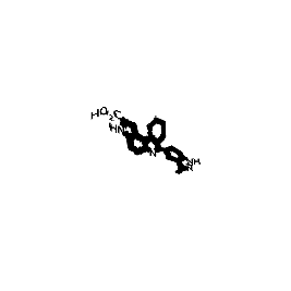 Cc1n[nH]c2ccc(-c3nc4ccc5[nH]c(C(=O)O)cc5c4c4c3CCCC4)cc12